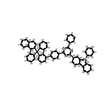 c1ccc(-c2nc(-c3ccc(-c4cccc5c4-c4ccccc4C54c5ccccc5-c5c4ccc4ccccc54)cc3)nc(-c3ccc4c5ccccc5n(-c5ccccc5)c4c3)n2)cc1